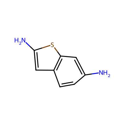 Nc1ccc2cc(N)sc2c1